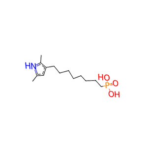 Cc1cc(CCCCCCCCP(=O)(O)O)c(C)[nH]1